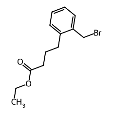 CCOC(=O)CCCc1ccccc1CBr